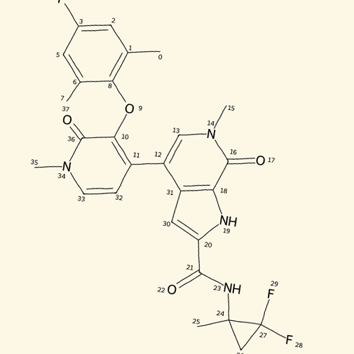 Cc1cc(F)cc(C)c1Oc1c(-c2cn(C)c(=O)c3[nH]c(C(=O)NC4(C)CC4(F)F)cc23)ccn(C)c1=O